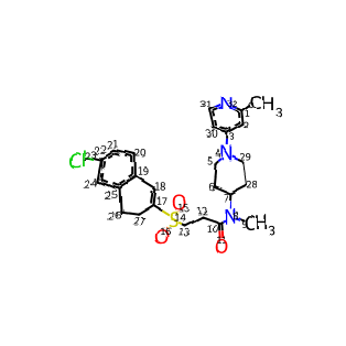 Cc1cc(N2CCC(N(C)C(=O)CCS(=O)(=O)C3=Cc4ccc(Cl)cc4CC3)CC2)ccn1